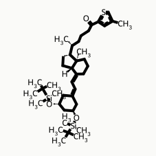 Cc1csc(C(=O)CCC[C@@H](C)[C@H]2CC[C@H]3/C(=C/C=C4C[C@@H](O[Si](C)(C)C(C)(C)C)C[C@H](O[Si](C)(C)C(C)(C)C)C4)CCC[C@]23C)c1